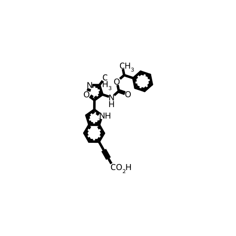 Cc1noc(-c2cc3ccc(C#CC(=O)O)cc3[nH]2)c1NC(=O)OC(C)c1ccccc1